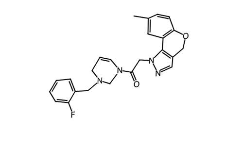 Cc1ccc2c(c1)-c1c(cnn1CC(=O)N1C=CCN(Cc3ccccc3F)C1)CO2